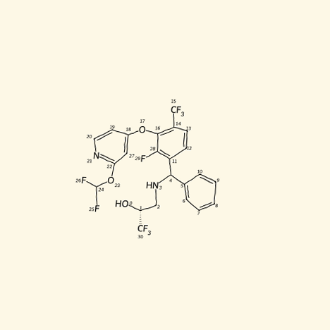 O[C@H](CNC(c1ccccc1)c1ccc(C(F)(F)F)c(Oc2ccnc(OC(F)F)c2)c1F)C(F)(F)F